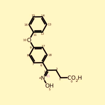 O=C(O)CC/C(=N\O)c1ccc(Oc2ccccc2)cc1